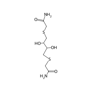 NC(=O)CSCC(O)C(O)CSCC(N)=O